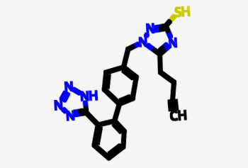 C#CCCc1nc(S)nn1Cc1ccc(-c2ccccc2-c2nnn[nH]2)cc1